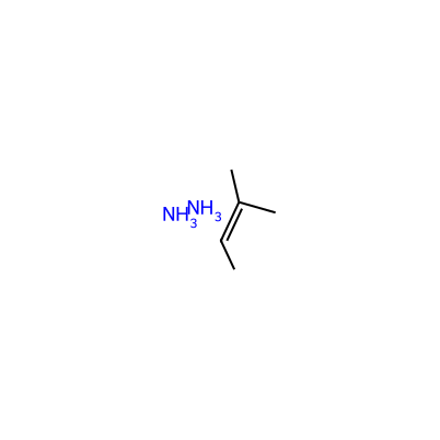 CC=C(C)C.N.N